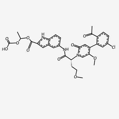 COCC[C@H](C(=O)Nc1ccc2[nH]c(C(=O)OC(C)OC(=O)O)cc2c1)n1cc(OC)c(-c2cc(Cl)ccc2C(C)=O)cc1=O